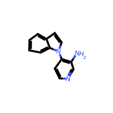 Nc1cnccc1-n1ccc2ccccc21